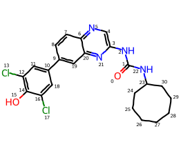 O=C(Nc1cnc2ccc(-c3cc(Cl)c(O)c(Cl)c3)cc2n1)NC1CCCCCCC1